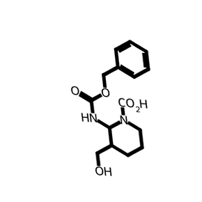 O=C(NC1C(CO)CCCN1C(=O)O)OCc1ccccc1